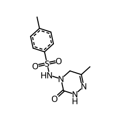 CC1=NNC(=O)N(NS(=O)(=O)c2ccc(C)cc2)C1